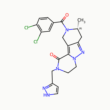 C[C@@H]1Cc2nn3c(c2CN1C(=O)c1ccc(Cl)c(Cl)c1)C(=O)N(Cc1cc[nH]n1)CC3